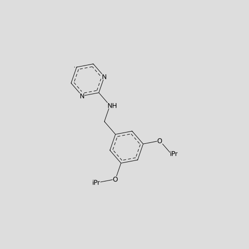 CC(C)Oc1cc(CNc2nc[c]cn2)cc(OC(C)C)c1